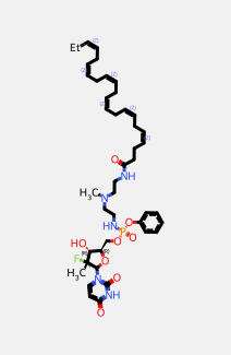 CC/C=C\C/C=C\C/C=C\C/C=C\C/C=C\C/C=C\CCC(=O)NCCN(C)CCNP(=O)(OC[C@H]1OC(n2ccc(=O)[nH]c2=O)[C@](C)(F)[C@@H]1O)Oc1ccccc1